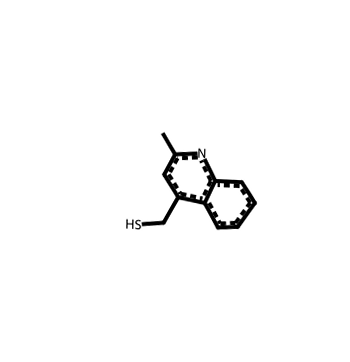 Cc1cc(CS)c2ccccc2n1